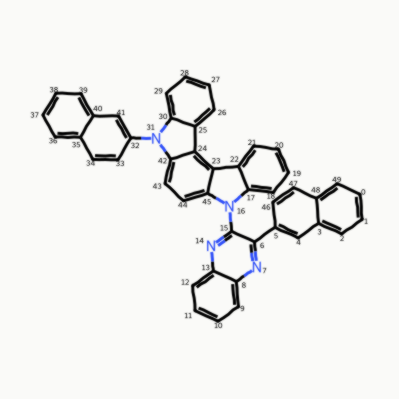 c1ccc2cc(-c3nc4ccccc4nc3-n3c4ccccc4c4c5c6ccccc6n(-c6ccc7ccccc7c6)c5ccc43)ccc2c1